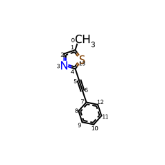 Cc1cnc(C#Cc2ccccc2)s1